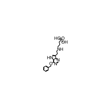 O=P(O)(O)CCCNCCc1c[nH]c2c(OCc3ccccc3)ncnc12